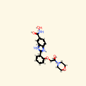 O=C(NO)c1ccc2nc(-c3ccccc3OCC(=O)N3CCOCC3)[nH]c2c1